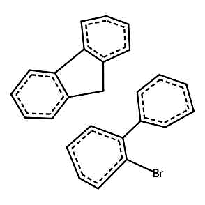 Brc1ccccc1-c1ccccc1.c1ccc2c(c1)Cc1ccccc1-2